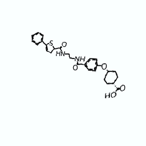 O=C(NCCNC(=O)C1CC=C(c2ccccc2)S1)c1ccc(O[C@H]2CC[C@@H](C(=O)O)CC2)cc1